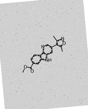 COC(=O)c1ccc2c(c1)[nH]c1cc(-c3c(C)noc3C)cnc12